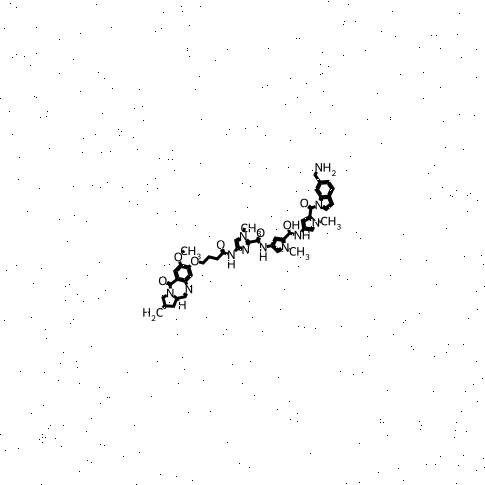 C=C1C[C@H]2C=Nc3cc(OCCCC(=O)Nc4cn(C)c(C(=O)Nc5cc(C(O)Nc6cc(C(=O)n7ccc8ccc(CN)cc87)n(C)c6)n(C)c5)n4)c(OC)cc3C(=O)N2C1